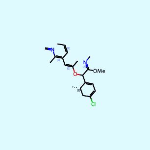 C=N/C(C)=C(\C=C/C)/C=C(\C)OC(C1=CC=C(Cl)C[C@@H]1C)/C(=N/C)OC